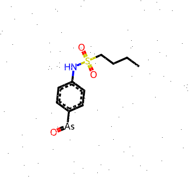 CCCCS(=O)(=O)Nc1ccc([As]=O)cc1